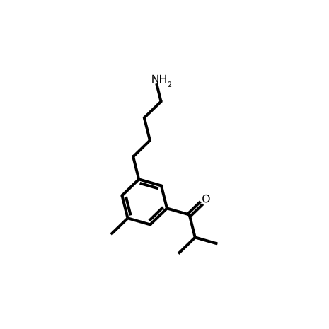 Cc1cc(CCCCN)cc(C(=O)C(C)C)c1